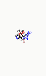 COC(=O)C1=C(CN=[N+]=[N-])NC(=O)CC1c1cccnc1